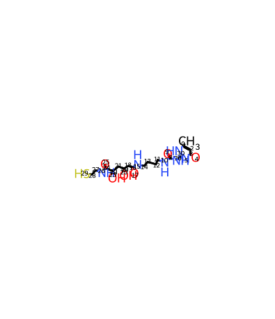 Cc1cc(=O)nc(NC(=O)NCCCCNC(=O)C[C@@H](O)C[C@H](O)C(=O)NCCS)[nH]1